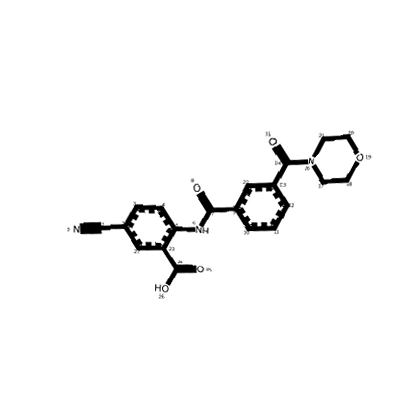 N#Cc1ccc(NC(=O)c2cccc(C(=O)N3CCOCC3)c2)c(C(=O)O)c1